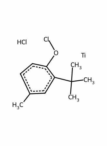 Cc1ccc(OCl)c(C(C)(C)C)c1.Cl.[Ti]